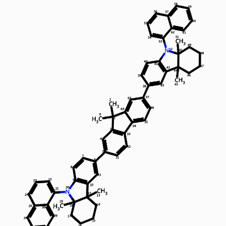 CC1(C)c2cc(-c3ccc4c(c3)C3(C)CCCCC3(C)N4c3cccc4ccccc34)ccc2-c2ccc(-c3ccc4c(c3)C3(C)CCCCC3(C)N4c3cccc4ccccc34)cc21